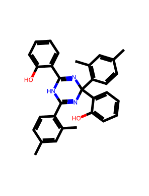 Cc1ccc(C2=NC(c3ccc(C)cc3C)(c3ccccc3O)N=C(c3ccccc3O)N2)c(C)c1